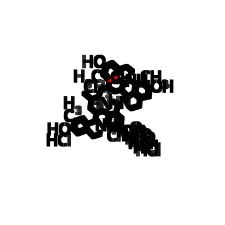 CCC(CCC(CC)CC(C1NCCc2cc(O)c(C)cc21)C1NCCc2cc(O)c(C)cc21)CC(C1NCCc2cc(O)c(C)cc21)C1NCCc2cc(O)c(C)cc21.Cl.Cl.Cl.Cl.O.O.O.O